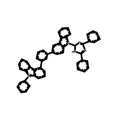 c1ccc(C2=NC(n3c4ccccc4c4cc(-c5cccc(-c6cccc7c6c6ccccc6n7-c6ccccc6)c5)ccc43)NC(c3ccccc3)=N2)cc1